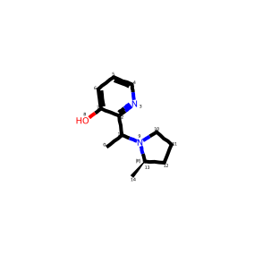 CC(c1ncccc1O)N1CCC[C@H]1C